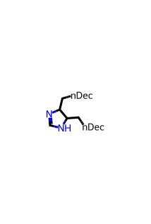 CCCCCCCCCCCC1N=CNC1CCCCCCCCCCC